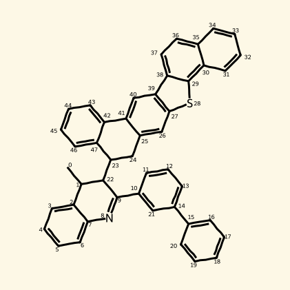 CC1c2ccccc2N=C(c2cccc(-c3ccccc3)c2)C1C1Cc2cc3sc4c5ccccc5ccc4c3cc2-c2ccccc21